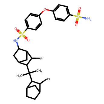 CC(C)C1C2CCC(C2)C1C(C)(C)C1C2CC(NS(=O)(=O)c3ccc(Oc4ccc(S(N)(=O)=O)cc4)cc3)C(C2)C1C(C)C